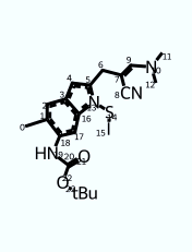 Cc1cc2cc(C/C(C#N)=C/N(C)C)n(SI)c2cc1NC(=O)OC(C)(C)C